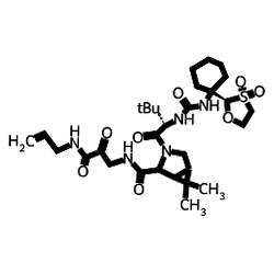 C=CCNC(=O)C(=O)CNC(=O)C1C2C(CN1C(=O)[C@@H](NC(=O)NC1([C@@H]3OCCS3(=O)=O)CCCCC1)C(C)(C)C)C2(C)C